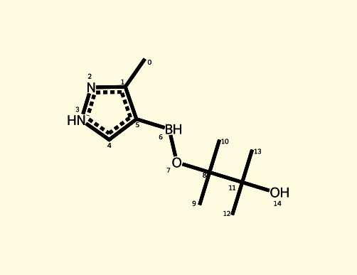 Cc1n[nH]cc1BOC(C)(C)C(C)(C)O